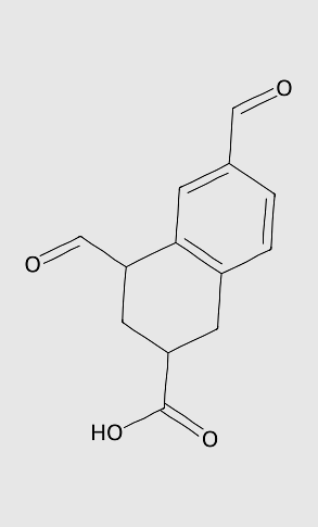 O=Cc1ccc2c(c1)C(C=O)CC(C(=O)O)C2